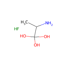 CC(N)C(O)(O)O.F